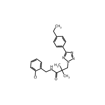 CCc1ccc(-c2nnn(CC(C)(C)C(=O)NCc3ccccc3Cl)n2)cc1